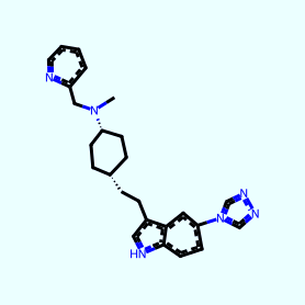 CN(Cc1ccccn1)[C@H]1CC[C@@H](CCc2c[nH]c3ccc(-n4cnnc4)cc23)CC1